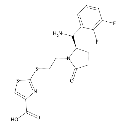 NC(c1cccc(F)c1F)[C@H]1CCC(=O)N1CCSc1nc(C(=O)O)cs1